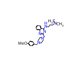 COc1ccc(CN2CCN(Cc3nc(NCCCN(C)C)c4ccccc4n3)CC2)cc1